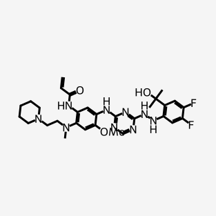 C=CC(=O)Nc1cc(Nc2ncnc(NNc3cc(F)c(F)cc3C(C)(C)O)n2)c(OC)cc1N(C)CCN1CCCCC1